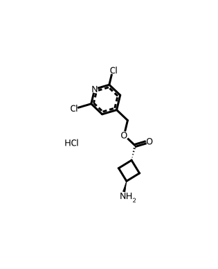 Cl.N[C@H]1C[C@H](C(=O)OCc2cc(Cl)nc(Cl)c2)C1